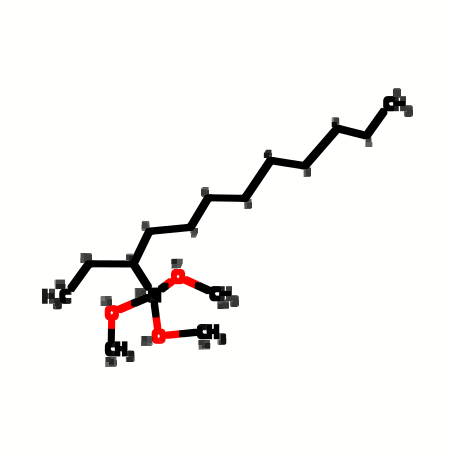 CCCCCCCCCC(CC)[Si](OC)(OC)OC